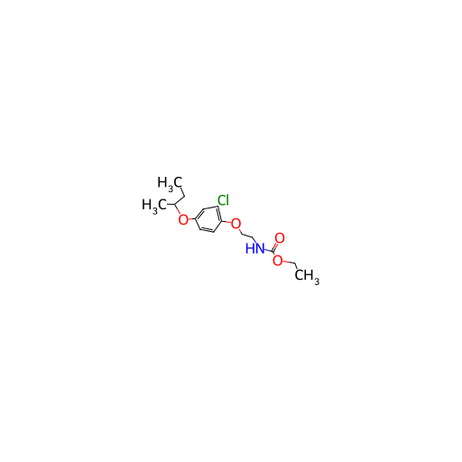 CCOC(=O)NCCOc1ccc(OC(C)CC)cc1Cl